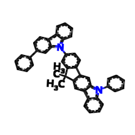 CC1(C)c2cc(-n3c4ccccc4c4ccc(-c5ccccc5)cc43)ccc2-c2cc3c(cc21)c1ccccc1n3-c1ccccc1